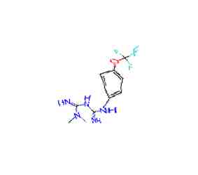 CN(C)C(=N)NC(=N)Nc1ccc(OC(F)(F)F)cc1